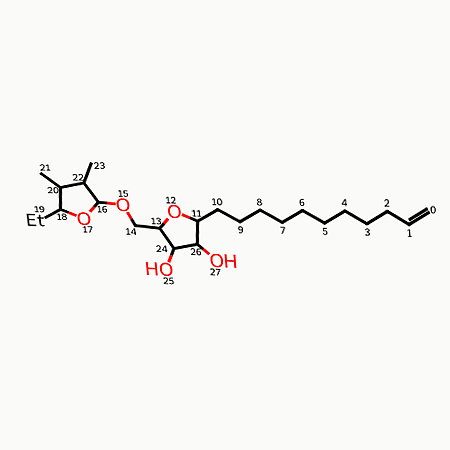 C=CCCCCCCCCCC1OC(COC2OC(CC)C(C)C2C)C(O)C1O